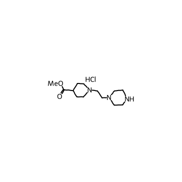 COC(=O)C1CCN(CCN2CCNCC2)CC1.Cl